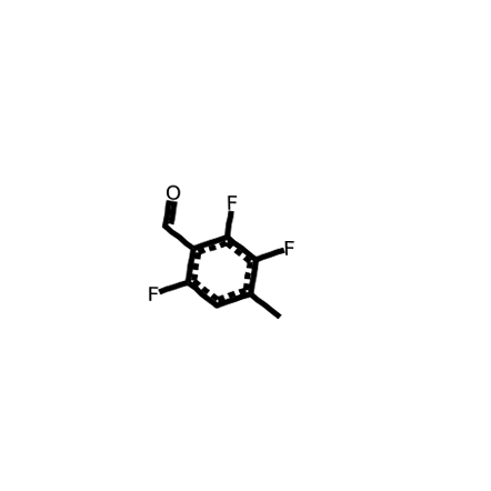 Cc1cc(F)c(C=O)c(F)c1F